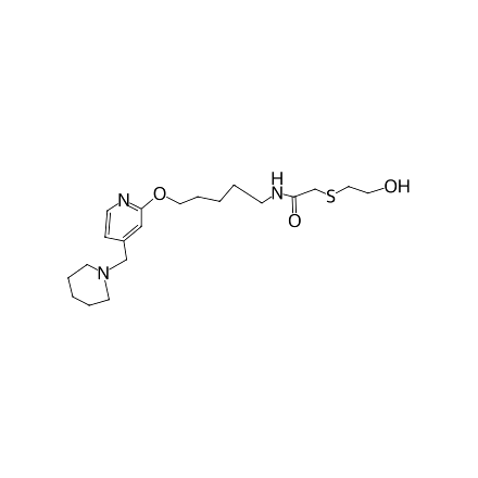 O=C(CSCCO)NCCCCCOc1cc(CN2CCCCC2)ccn1